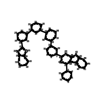 c1ccc(-c2nc(-c3cccc(-c4cccc(-c5cccc(-c6cccc(-c7nc8ccccc8o7)c6)c5)c4)c3)nc3sc4ccccc4c23)cc1